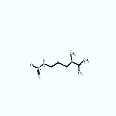 CC(C)N(C)CCCN[N+](=O)[O-]